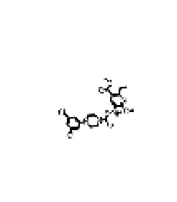 CCc1nc(OC)c(NSC(=O)N2CCN(c3cc(Cl)cc(Cl)c3)CC2)cc1C(=O)OC